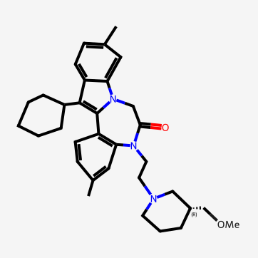 COC[C@@H]1CCCN(CCN2C(=O)Cn3c(c(C4CCCCC4)c4ccc(C)cc43)-c3ccc(C)cc32)C1